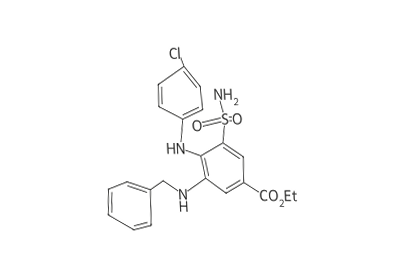 CCOC(=O)c1cc(NCc2ccccc2)c(Nc2ccc(Cl)cc2)c(S(N)(=O)=O)c1